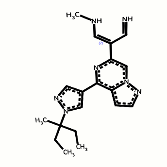 CCC(C)(CC)n1cc(-c2nc(/C(C=N)=C/NC)cn3nccc23)cn1